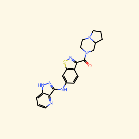 O=C(c1nsc2cc(Nc3n[nH]c4cccnc34)ccc12)N1CCN2CCCC2C1